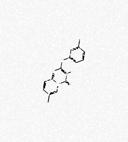 Cc1cccc(Nc2nc3ccc(C)cn3c(=O)c2C(=O)O)c1